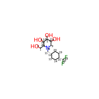 OC[C@H]1[C@@H](O)[C@H](O)[C@@H](O)CN1C[C@H]1CC[C@@H](C(F)F)CC1